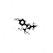 CC(C)n1cc(C(F)(F)F)nc1-c1ccc(O)cc1